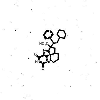 O=C(O)C(CC1CCCCC1)(c1nc2c(=O)[nH]c(=O)[nH]c2[nH]1)C(CC1CCCCC1)c1ccccc1